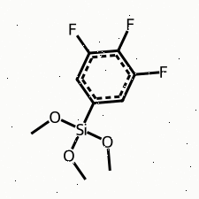 CO[Si](OC)(OC)c1cc(F)c(F)c(F)c1